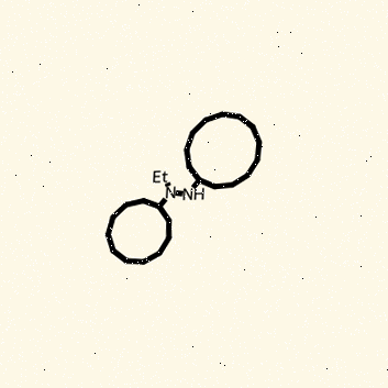 CCN(NC1CCCCCCCCCCCC1)C1CCCCCCCCCC1